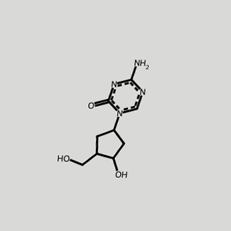 Nc1ncn(C2CC(O)C(CO)C2)c(=O)n1